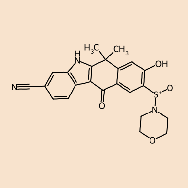 CC1(C)c2cc(O)c([S+]([O-])N3CCOCC3)cc2C(=O)c2c1[nH]c1cc(C#N)ccc21